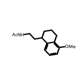 COc1cccc2c1CCCC2CCNC(C)=O